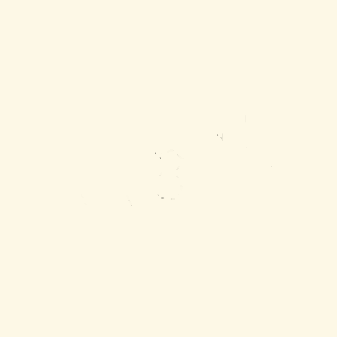 C=CCN(CC)CCc1c[nH]c2c(OC(=O)CCC(=O)O)cccc12